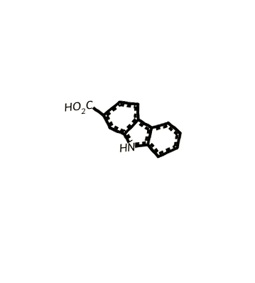 O=C(O)c1ccc2c(c1)[nH]c1ccccc12